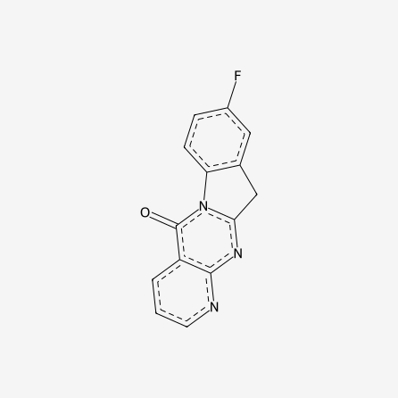 O=c1c2cccnc2nc2n1-c1ccc(F)cc1C2